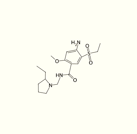 CCC1CCCN1CNC(=O)c1cc(S(=O)(=O)CC)c(N)cc1OC